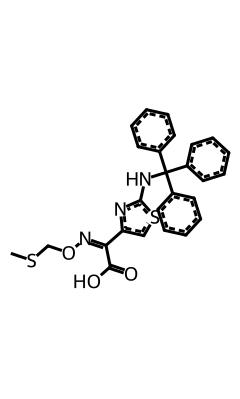 CSCON=C(C(=O)O)c1csc(NC(c2ccccc2)(c2ccccc2)c2ccccc2)n1